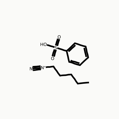 CCCCC[N+]#N.O=S(=O)(O)c1ccccc1